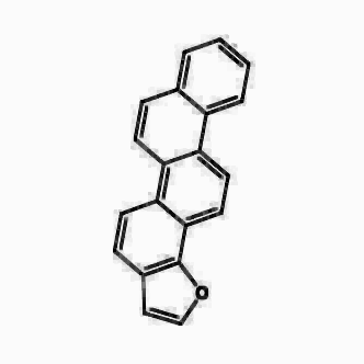 c1ccc2c(c1)ccc1c2ccc2c1ccc1ccoc12